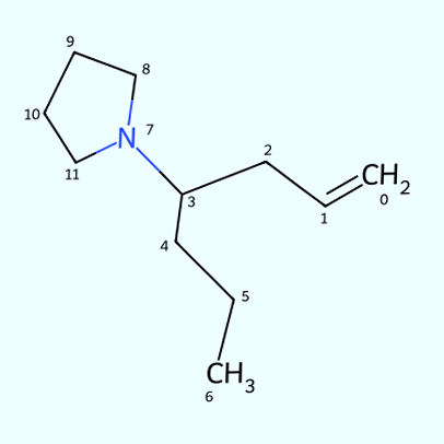 C=CCC(CCC)N1CCCC1